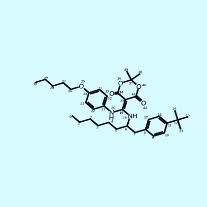 CCCCCCC(Cc1ccc(C(C)(C)C)cc1)NC(Nc1ccc(OCCCCC)cc1)=C1C(=O)OC(C)(C)OC1=O